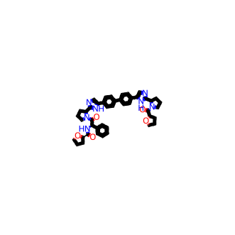 O=C(N[C@@H](C(=O)N1CCCC1c1ncc(-c2ccc(-c3ccc(-c4cnc(C5CCCN5C(=O)C5CCCO5)[nH]4)cc3)cc2)[nH]1)c1ccccc1)[C@H]1CCCO1